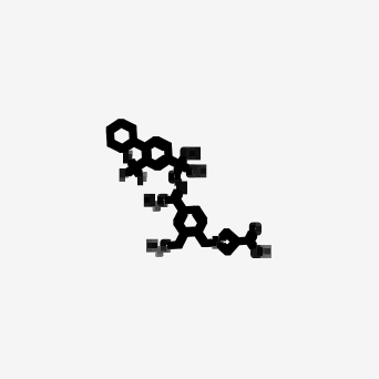 CCc1cc(/C(C)=N/OC(O)(O)c2ccc(C3CCCCC3)c(C(F)(F)F)c2)ccc1CN1CC(C(=O)O)C1